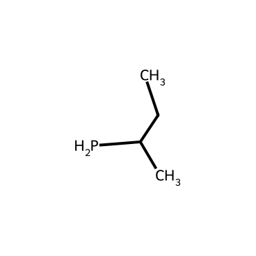 CCC(C)P